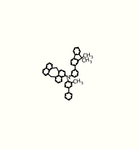 Cc1cc(-c2ccccc2)ccc1N(c1cccc(-c2ccc3c(c2)C(C)(C)c2ccccc2-3)c1)c1ccc2c3c(cccc13)Cc1cccc3cccc(c13)C2